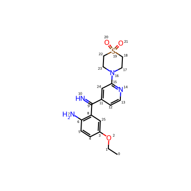 CCOc1ccc(N)c(C(=N)c2ccnc(N3CCS(=O)(=O)CC3)c2)c1